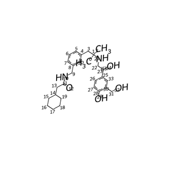 CC(C)(Cc1cccc(CNC(=O)CC2CCCCC2)c1)NC[C@@H](O)c1ccc(O)c(CO)c1